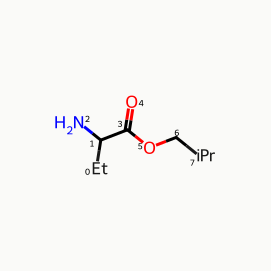 CCC(N)C(=O)OCC(C)C